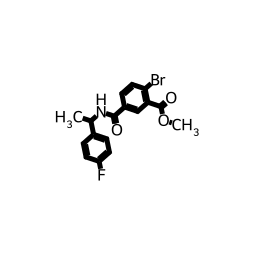 COC(=O)c1cc(C(=O)NC(C)c2ccc(F)cc2)ccc1Br